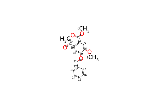 COC(=O)c1cc(OC)c(OCc2ccccc2)cc1C(C)=O